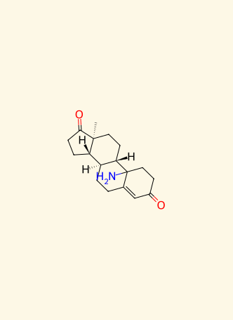 C[C@]12CC[C@H]3[C@@H](CCC4=CC(=O)CCC43N)[C@@H]1CCC2=O